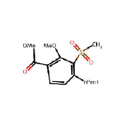 CCCCCc1ccc(C(=O)OC)c(OC)c1S(C)(=O)=O